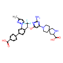 Cc1ccn(-c2cc(-c3ccc(C(=O)O)cc3)ccc2[C@@H](Oc2cc(N3CCC4(CC3)CNC(C(=O)O)C4)nc(N)n2)C(F)(F)F)n1